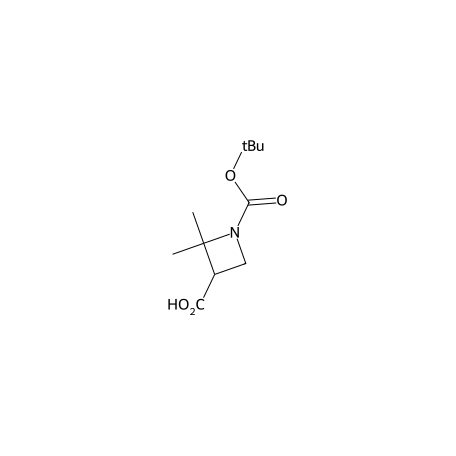 CC(C)(C)OC(=O)N1CC(C(=O)O)C1(C)C